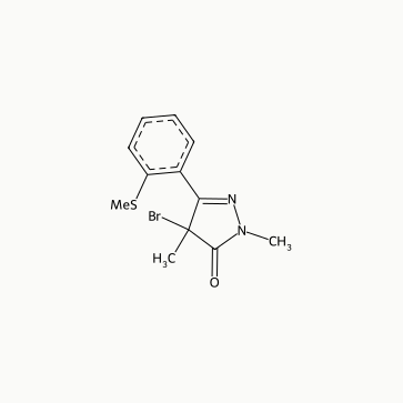 CSc1ccccc1C1=NN(C)C(=O)C1(C)Br